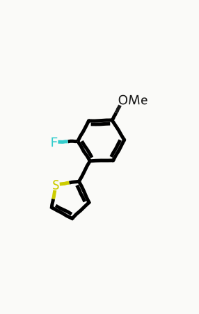 COc1ccc(-c2cccs2)c(F)c1